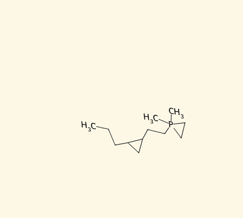 CCCC1CC1CCP1(C)(C)CC1